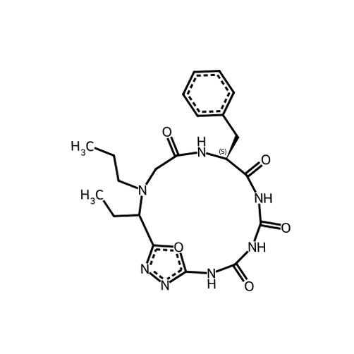 CCCN1CC(=O)N[C@@H](Cc2ccccc2)C(=O)NC(=O)NC(=O)Nc2nnc(o2)C1CC